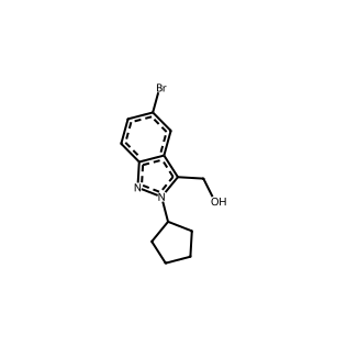 OCc1c2cc(Br)ccc2nn1C1CCCC1